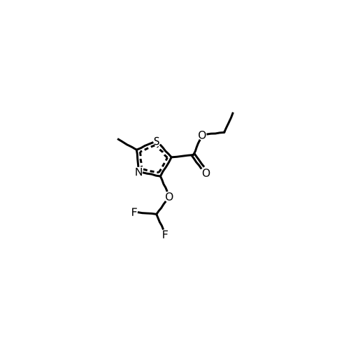 CCOC(=O)c1sc(C)nc1OC(F)F